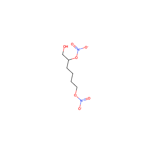 O=[N+]([O-])OCCCCC(CO)O[N+](=O)[O-]